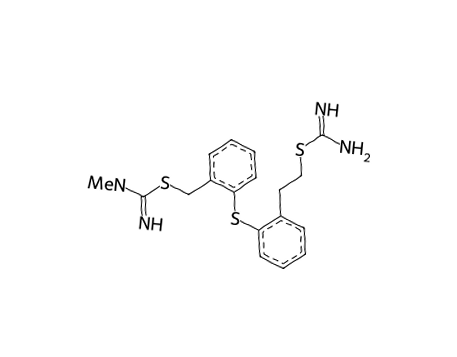 CNC(=N)SCc1ccccc1Sc1ccccc1CCSC(=N)N